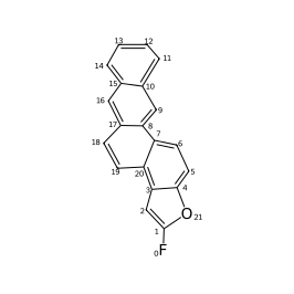 Fc1cc2c(ccc3c4cc5ccccc5cc4ccc23)o1